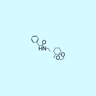 C[C@H]1[C@H](CCNC(=O)Cc2ccccc2)CCCC12OCCO2